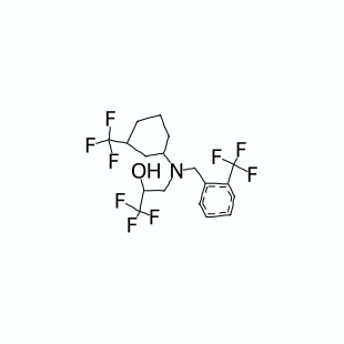 OC(CN(Cc1ccccc1C(F)(F)F)C1CCCC(C(F)(F)F)C1)C(F)(F)F